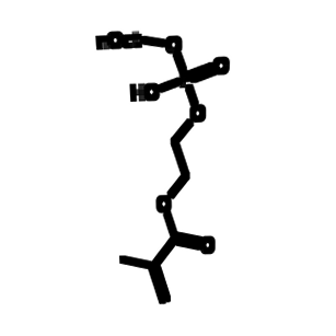 C=C(C)C(=O)OCCOP(=O)(O)OCCCCCCCC